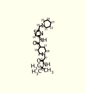 CC(C)(C)NC(=O)CN1CCC(C(=O)Nc2csc(CN3CCCCC3)n2)CC1